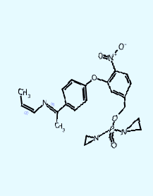 C/C=C\N=C(/C)c1ccc(Oc2cc(COP(=O)(N3CC3)N3CC3)ccc2[N+](=O)[O-])cc1